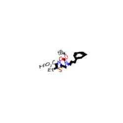 CCc1sc(CN(CCCc2ccccc2)C(=O)OC(C)(C)C)nc1C(=O)O